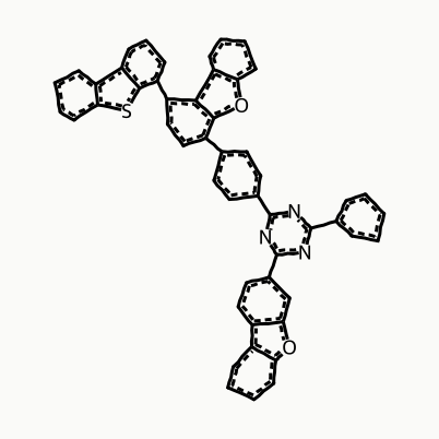 c1ccc(-c2nc(-c3ccc(-c4ccc(-c5cccc6c5sc5ccccc56)c5c4oc4ccccc45)cc3)nc(-c3ccc4c(c3)oc3ccccc34)n2)cc1